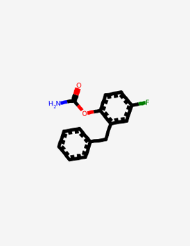 NC(=O)Oc1ccc(F)cc1Cc1ccccc1